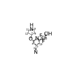 Cl.N#Cc1cc(OC2CCNCC2)nc(C(F)(F)F)c1